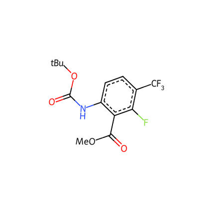 COC(=O)c1c(NC(=O)OC(C)(C)C)ccc(C(F)(F)F)c1F